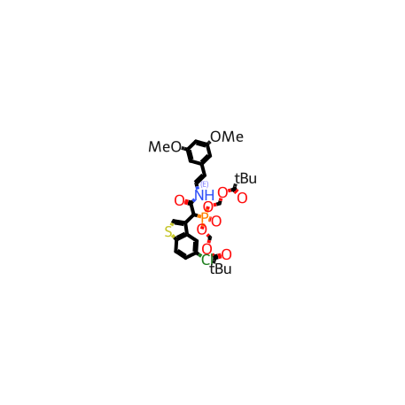 COc1cc(/C=C/NC(=O)C(c2csc3ccc(Cl)cc23)P(=O)(OCOC(=O)C(C)(C)C)OCOC(=O)C(C)(C)C)cc(OC)c1